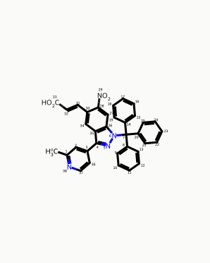 Cc1cc(-c2nn(C(c3ccccc3)(c3ccccc3)c3ccccc3)c3cc([N+](=O)[O-])c(C=CC(=O)O)cc23)ccn1